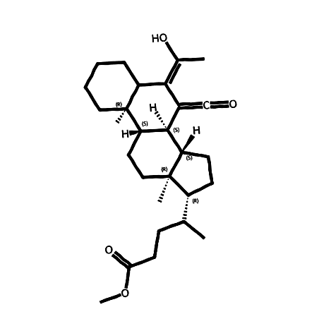 COC(=O)CCC(C)[C@H]1CC[C@H]2[C@@H]3C(=C=O)C(=C(C)O)C4CCCC[C@]4(C)[C@H]3CC[C@]12C